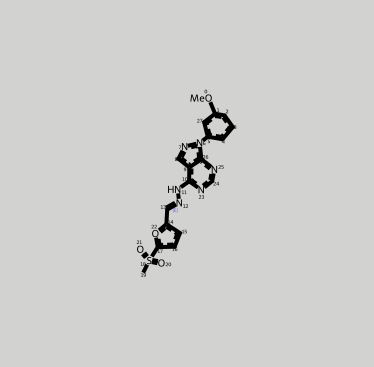 COc1cccc(-n2ncc3c(N/N=C/c4ccc(S(C)(=O)=O)o4)ncnc32)c1